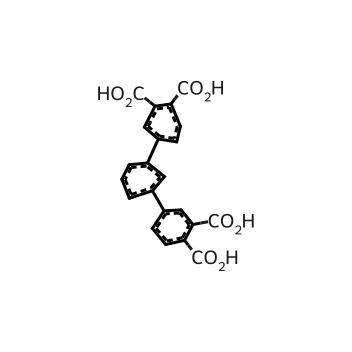 O=C(O)c1ccc(-c2cccc(-c3ccc(C(=O)O)c(C(=O)O)c3)c2)cc1C(=O)O